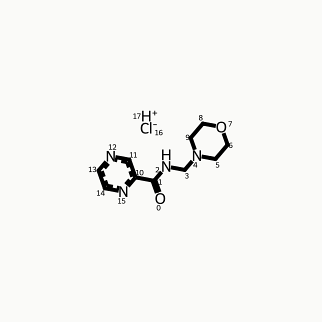 O=C(NCN1CCOCC1)c1cnccn1.[Cl-].[H+]